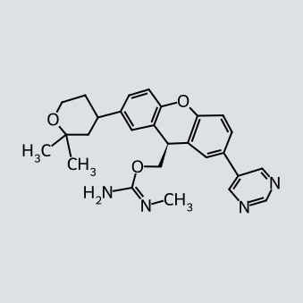 C/N=C(/N)OC[C@@H]1c2cc(-c3cncnc3)ccc2Oc2ccc(C3CCOC(C)(C)C3)cc21